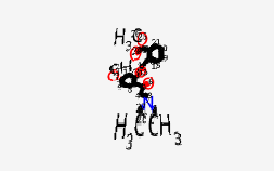 CCN(C=CC(=O)c1ccc(OC)cc1OCc1ccccc1C(=O)OC)CC